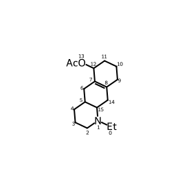 CCN1CCCC2CC3=C(CCCC3OC(C)=O)CC21